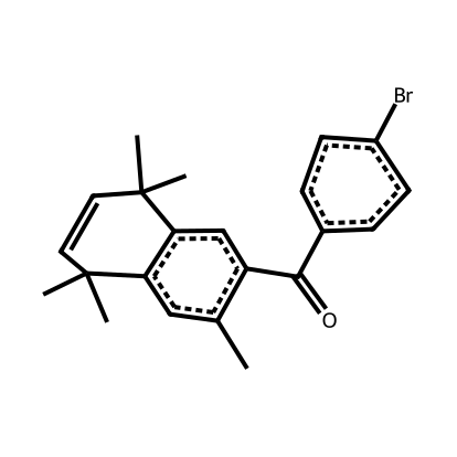 Cc1cc2c(cc1C(=O)c1ccc(Br)cc1)C(C)(C)C=CC2(C)C